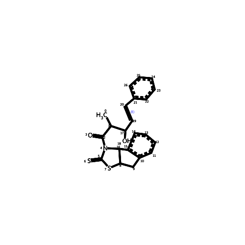 CC(C(=O)N1C(=S)SC2Cc3ccccc3C21)C(O)/C=C/c1ccccc1